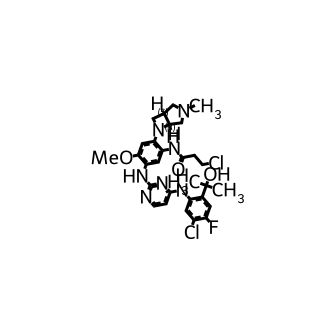 COc1cc(N2C[C@@H]3CN(C)C[C@@H]32)c(NC(=O)CCCl)cc1Nc1nccc(Nc2cc(Cl)c(F)cc2C(C)(C)O)n1